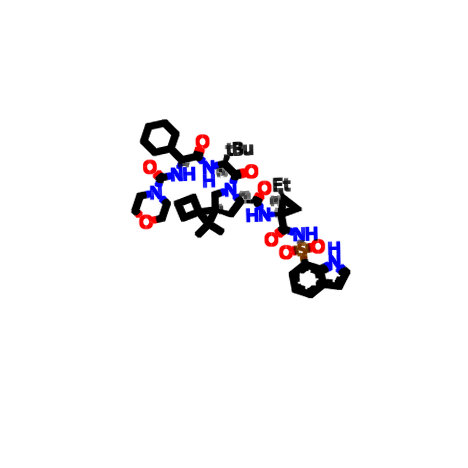 CC[C@@H]1C[C@]1(NC(=O)[C@@H]1C[C@@]2(CN1C(=O)[C@@H](NC(=O)[C@@H](NC(=O)N1CCOCC1)C1CCCCC1)C(C)(C)C)C(C)(C)C21CCC1)C(=O)NS(=O)(=O)c1cccc2cc[nH]c12